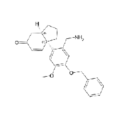 COc1cc([C@]23C=CC(=O)C[C@H]2CCC3)c(CN)cc1OCc1ccccc1